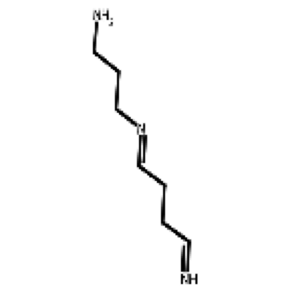 N=CCCC=NCCCN